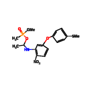 COP(C)(=O)OC(C)Nc1cc(Oc2ccc(SC)cc2)ccc1[N+](=O)[O-]